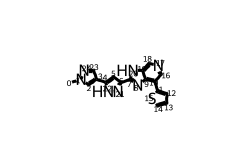 Cn1cc(-c2cc(-c3nc4c(-c5cccs5)cncc4[nH]3)n[nH]2)cn1